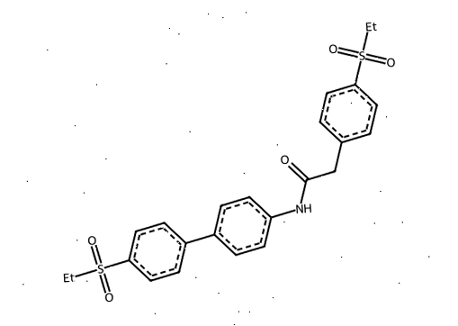 CCS(=O)(=O)c1ccc(CC(=O)Nc2ccc(-c3ccc(S(=O)(=O)CC)cc3)cc2)cc1